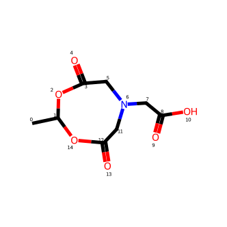 CC1OC(=O)CN(CC(=O)O)CC(=O)O1